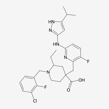 CCC1CC(Cc2nc(Nc3cc(C(C)C)[nH]n3)ccc2F)(C(=O)O)CCN1Cc1cccc(Cl)c1F